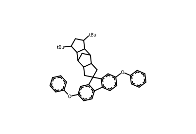 CC(C)(C)C1CC(C(C)(C)C)C2C3CC(C4CC5(CC43)c3cc(Oc4ccccc4)ccc3-c3ccc(Oc4ccccc4)cc35)C21